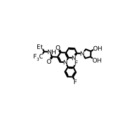 CCC(NC(=O)c1cn(-c2ccc(F)cc2F)c2nc(N3CC(O)C(O)C3)ccc2c1=O)C(F)(F)F